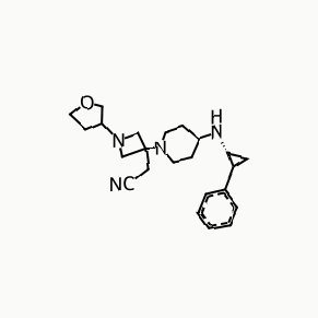 N#CCC1(N2CCC(N[C@@H]3CC3c3ccccc3)CC2)CN(C2CCOC2)C1